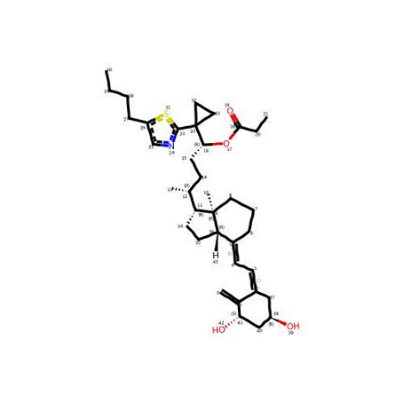 C=C1/C(=C\C=C2/CCC[C@]3(C)[C@@H]([C@H](C)CC[C@@H](OC(=O)CC)C4(c5ncc(CCCC)s5)CC4)CC[C@@H]23)C[C@@H](O)C[C@@H]1O